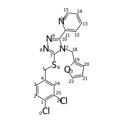 Clc1ccc(CSc2nnc(-c3ccccn3)n2Cc2ccco2)cc1Cl